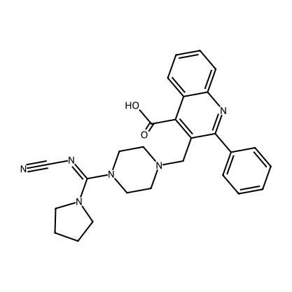 N#CN=C(N1CCCC1)N1CCN(Cc2c(-c3ccccc3)nc3ccccc3c2C(=O)O)CC1